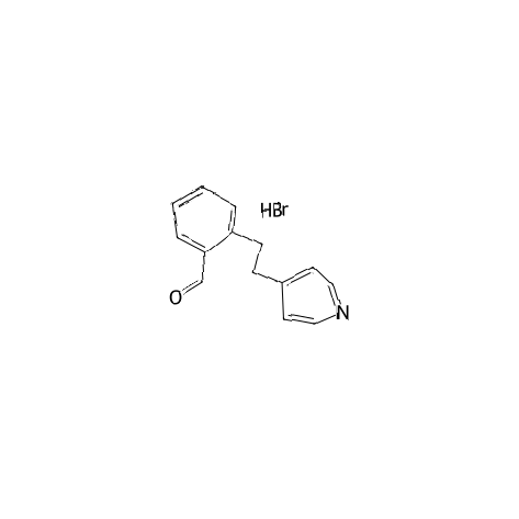 Br.O=Cc1ccccc1CCc1ccncc1